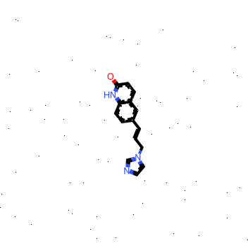 O=c1ccc2cc(C=CCn3ccnc3)ccc2[nH]1